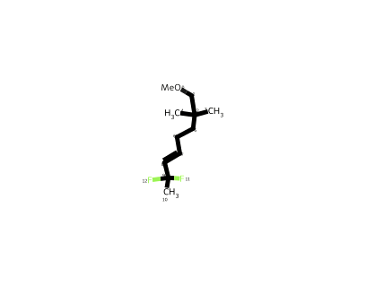 COCC(C)(C)CC/C=C/C(C)(F)F